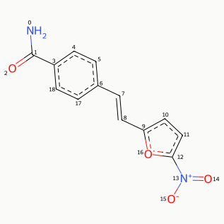 NC(=O)c1ccc(C=Cc2ccc([N+](=O)[O-])o2)cc1